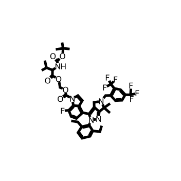 CCc1cccc(CC)c1-n1nc2c(c1-c1ccc(F)c3c1ccn3C(=O)OCOC(=O)C(NC(=O)OC(C)(C)C)C(C)C)CN(Cc1ccc(C(F)(F)F)cc1C(F)(F)F)C2(C)C